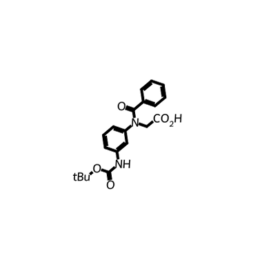 CC(C)(C)OC(=O)Nc1cccc(N(CC(=O)O)C(=O)c2ccccc2)c1